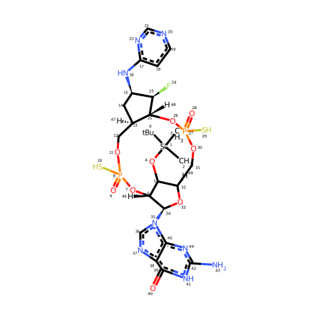 CC(C)(C)[Si](C)(C)OC1[C@H]2OP(=O)(S)OC[C@H]3C[C@@H](Nc4ccncn4)[C@@H](F)[C@@H]3OP(=O)(S)OC[C@H]1O[C@H]2n1cnc2c(=O)[nH]c(N)nc21